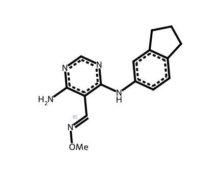 CO/N=C/c1c(N)ncnc1Nc1ccc2c(c1)CCC2